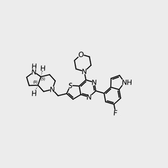 Fc1cc(-c2nc(N3CCOCC3)c3sc(CN4CC[C@@H]5NCC[C@@H]5C4)cc3n2)c2cc[nH]c2c1